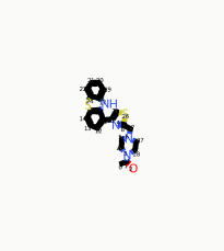 CC(=O)N1CCN(Cc2nc(-c3cccc4c3Nc3ccccc3S4)cs2)CC1